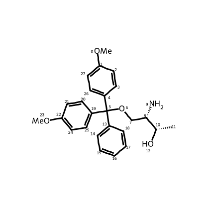 COc1ccc(C(OC[C@H](N)[C@H](C)O)(c2ccccc2)c2ccc(OC)cc2)cc1